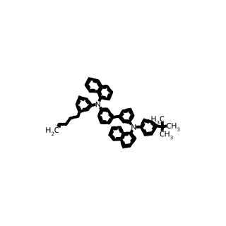 C=CCCCc1cccc(N(c2cccc(-c3cccc(N(c4ccc(C(C)(C)C)cc4)c4cccc5ccccc45)c3)c2)c2cccc3ccccc23)c1